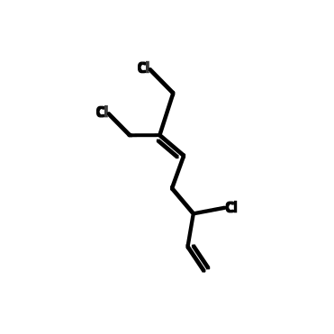 C=CC(Cl)CC=C(CCl)CCl